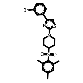 Cc1cc(C)c(S(=O)(=O)C2CCN(c3nc(-c4cccc(Br)c4)cs3)CC2)c(C)c1